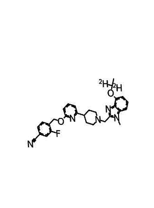 [2H]C([2H])(C)Oc1cccc2c1nc(CN1CCC(c3cccc(OCc4ccc(C#N)cc4F)n3)CC1)n2C